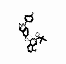 C[C@H]1[C@H](Oc2ccc3c(cnn3-c3ccc(F)cc3)c2)c2cccc(F)c2CN1C(=O)C(C)(C)C